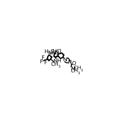 Cc1cc(NC(C)c2cc(N)cc(C(F)(F)F)c2)c2cc(N3CCN(C(=O)CN(C)C)CC3)ccc2n1.Cl